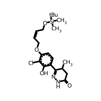 CC1CC(=O)NN=C1c1ccc(OC/C=C\CO[Si](C)(C)C(C)(C)C)c(Cl)c1O